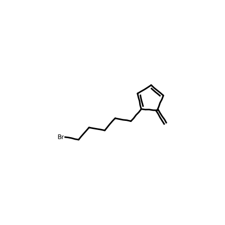 C=C1C=CC=C1CCCCCBr